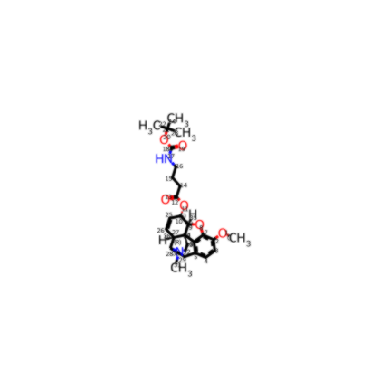 COc1ccc2c3c1O[C@H]1[C@@H](OC(=O)CCCNC(=O)OC(C)(C)C)C=C[C@H]4C(C2)N(C)CC[C@@]341